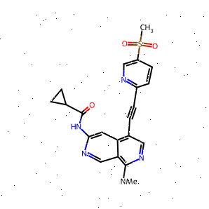 CNc1ncc(C#Cc2ccc(S(C)(=O)=O)cn2)c2cc(NC(=O)C3CC3)ncc12